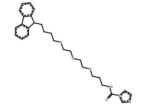 O=C(NCCCOCCOCCOCCCCC1c2ccccc2-c2ccccc21)n1ccnc1